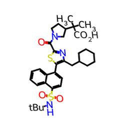 CC(C)(C)NS(=O)(=O)c1ccc(-c2sc(C(=O)N3CCC(C(C)(C)C(=O)O)C3)nc2CC2CCCCC2)c2ccccc12